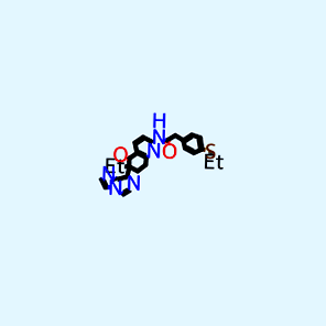 CCSc1ccc(CC(=O)Nc2ccc3c(n2)CCC(CC)(c2nccn4ccnc24)C3=O)cc1